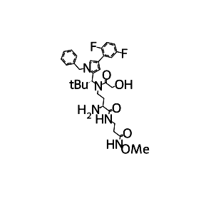 CONC(=O)CCNC(=O)[C@@H](N)CCN(C(=O)CO)[C@@H](c1cc(-c2cc(F)ccc2F)cn1Cc1ccccc1)C(C)(C)C